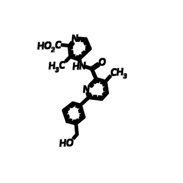 Cc1ccc(-c2cccc(CO)c2)nc1C(=O)Nc1ccnc(C(=O)O)c1C